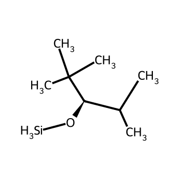 CC(C)[C@@H](O[SiH3])C(C)(C)C